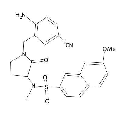 COc1ccc2ccc(S(=O)(=O)N(C)C3CCN(Cc4cc(C#N)ccc4N)C3=O)cc2c1